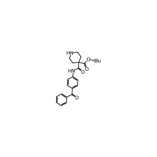 CC(C)(C)OC(=O)C1(C(=O)Nc2ccc(C(=O)c3ccccc3)cc2)CCNCC1